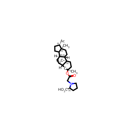 CC(=O)[C@H]1CCC2[C@@H]3CC[C@H]4C[C@](C)(OC(=O)CN5CCC[C@H]5C(=O)O)CC[C@]4(C)[C@H]3CC[C@@]21C